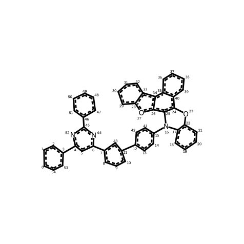 c1ccc(-c2cc(-c3cccc(-c4ccc(N5c6ccccc6Oc6c5c5oc7ccccc7c5c5ccccc65)cc4)c3)nc(-c3ccccc3)n2)cc1